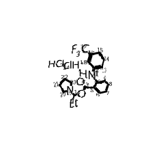 CCC(OC(=O)c1ccccc1Nc1cccc(C(F)(F)F)c1)N1CCCC1.Cl.Cl